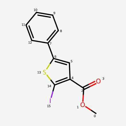 COC(=O)c1cc(-c2ccccc2)sc1I